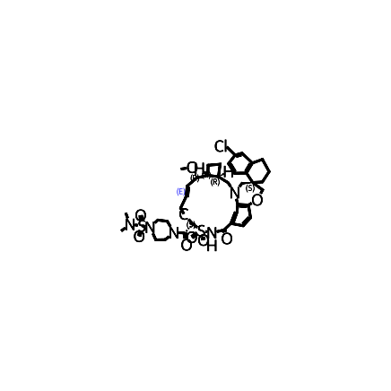 CO[C@H]1/C=C/CC[C@@H](C(=O)N2CCN(S(=O)(=O)N(C)C)CC2)S(=O)(=O)NC(=O)c2ccc3c(c2)N(C[C@@H]2CC[C@H]21)C[C@@]1(CCCc2cc(Cl)ccc21)CO3